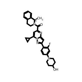 C[C@@H]1c2ccccc2CCN1C(=O)c1cc(C2CC2)n2nc(-c3ccc(N4CCC(O)CC4)cc3F)cc2n1